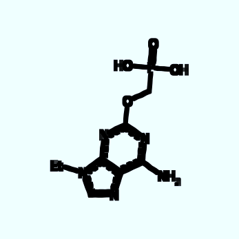 CCn1cnc2c(N)nc(OCP(=O)(O)O)nc21